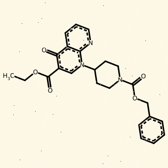 CCOC(=O)c1cn(C2CCN(C(=O)OCc3ccccc3)CC2)c2ncccc2c1=O